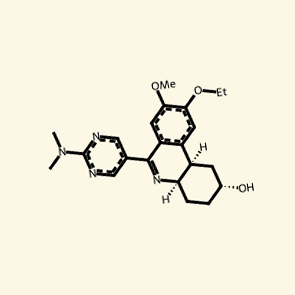 CCOc1cc2c(cc1OC)C(c1cnc(N(C)C)nc1)=N[C@@H]1CC[C@@H](O)C[C@H]21